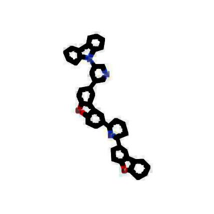 c1cc(-c2ccc3oc4ccccc4c3c2)nc(-c2ccc3oc4ccc(-c5cncc(-n6c7ccccc7c7ccccc76)c5)cc4c3c2)c1